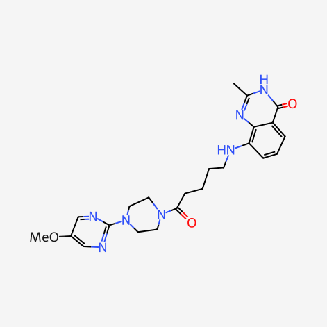 COc1cnc(N2CCN(C(=O)CCCCNc3cccc4c(=O)[nH]c(C)nc34)CC2)nc1